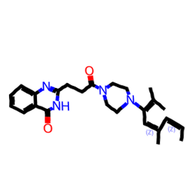 C/C=C\C(C)=C/C(=C(C)C)N1CCN(C(=O)CCc2nc3ccccc3c(=O)[nH]2)CC1